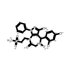 Cc1nn(-c2ccccc2)c2c1C(c1ccc(Cl)cc1Cl)[NH+]([O-])CC(=O)N2CCS(C)(=O)=O